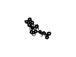 c1ccc(C2NC(c3ccc4c(c3)C3(c5ccccc5-c5ccccc53)c3ccccc3-4)=NC(c3cccc4oc5cc(-c6ccc7c(c6)sc6cc(-n8c9ccccc9c9ccccc98)ccc67)ccc5c34)N2)cc1